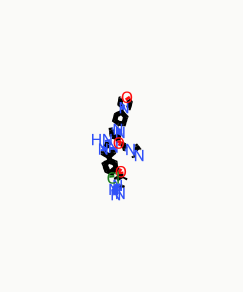 C[C@@H](Cn1cnnn1)Oc1cc(-c2cnc(Nc3cn([C@H]4CC[C@H](N5CCOCC5)CC4)nc3OCCn3ccnc3)nc2)ccc1Cl